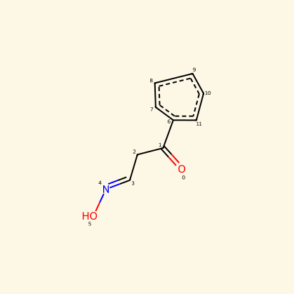 O=C(CC=NO)c1ccccc1